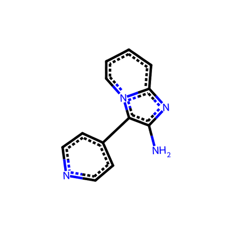 Nc1nc2ccccn2c1-c1ccncc1